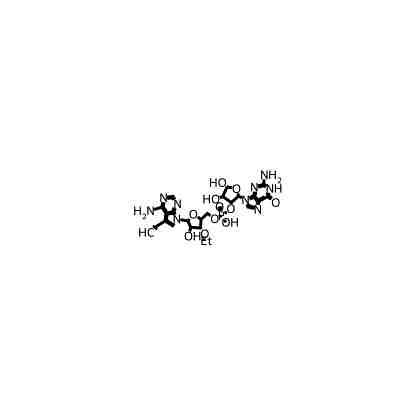 C#Cc1cn(C2OC(COP(=O)(O)OC3C(O)C(O)OC3n3cnc4c(=O)[nH]c(N)nc43)C(OCC)C2O)c2ncnc(N)c12